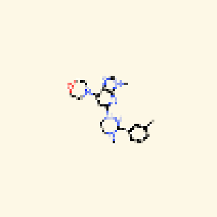 Cc1cccc(C2=NN(c3cc(N4CCOCC4)c4ncn(C)c4n3)CCN2C)c1